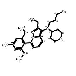 CCc1nn2c(-c3c(OC)cc(C)cc3OC)cccc2c1N(CCCF)C1CCOCC1